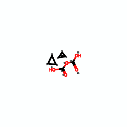 C1=CC1.C1CC1.O=C(O)OC(=O)O